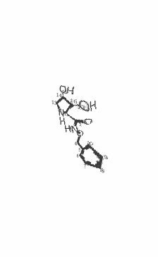 O=C(NOCc1ccccc1)[C@H]1NC[C@H](O)[C@@H]1O